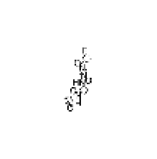 O=C(Nc1cccc(NC(=O)N2CCN(C(=O)c3cccc(F)c3)CC2)c1)c1ccc[n+]([O-])c1